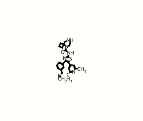 C=NCc1cccc(-c2nc(NC(=O)N3CCNCC34CCC4)sc2-c2cc(C)nc(C)c2)c1